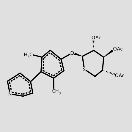 CC(=O)O[C@@H]1[C@@H](OC(C)=O)[C@H](OC(C)=O)CS[C@H]1Oc1cc(C)c(-c2ccncc2)c(C)c1